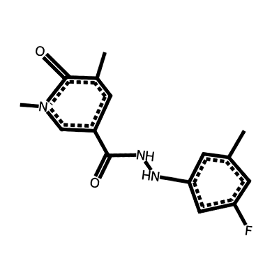 Cc1cc(F)cc(NNC(=O)c2cc(C)c(=O)n(C)c2)c1